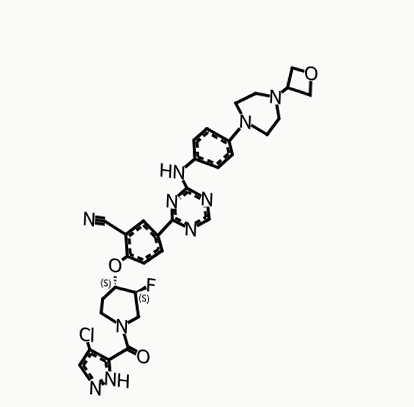 N#Cc1cc(-c2ncnc(Nc3ccc(N4CCN(C5COC5)CC4)cc3)n2)ccc1O[C@H]1CCN(C(=O)c2[nH]ncc2Cl)C[C@@H]1F